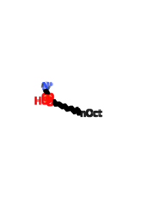 CCCCCCCCC=CCCCCCCCCOP(=O)(O)OCC[N+](C)(C)C